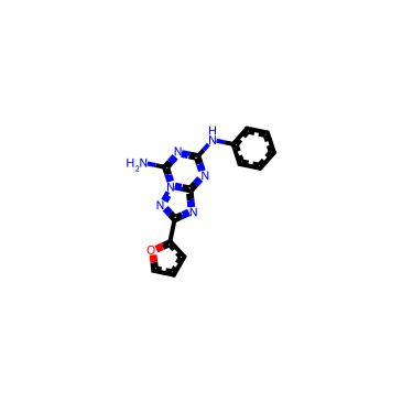 Nc1nc(Nc2ccccc2)nc2nc(-c3ccco3)nn12